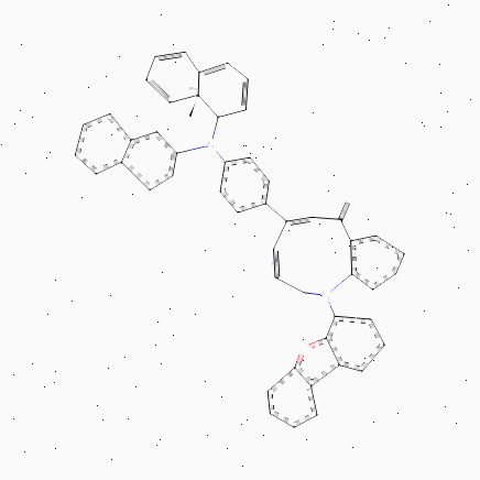 C=C1/C=C(c2ccc(N(c3ccc4ccccc4c3)C3C=CC=C4C=CC=C[C@H]43)cc2)\C=C/CN(c2cccc3c2oc2ccccc23)c2ccccc21